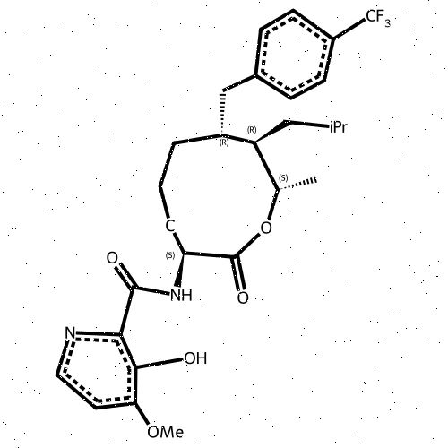 COc1ccnc(C(=O)N[C@H]2CCC[C@H](Cc3ccc(C(F)(F)F)cc3)[C@@H](CC(C)C)[C@H](C)OC2=O)c1O